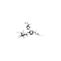 Cc1[nH]c(C(=O)Nc2ccc(C(=O)NCC(=O)O)cc2N2CC[C@@H](N)C2)c(Cl)c1Cl.Cl